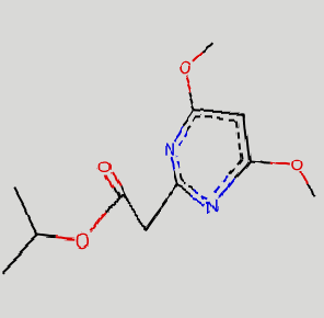 COc1cc(OC)nc(CC(=O)OC(C)C)n1